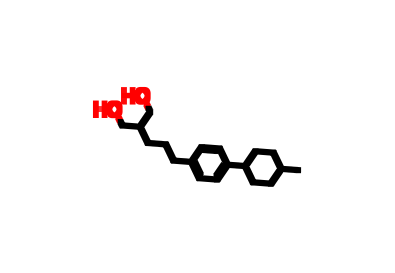 CC1CCC(c2ccc(CCCC(CO)CO)cc2)CC1